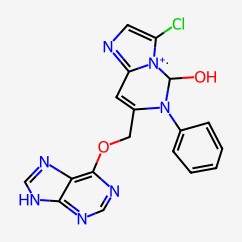 OC1N(c2ccccc2)C(COc2ncnc3[nH]cnc23)=CC2=NC=C(Cl)[N+]21